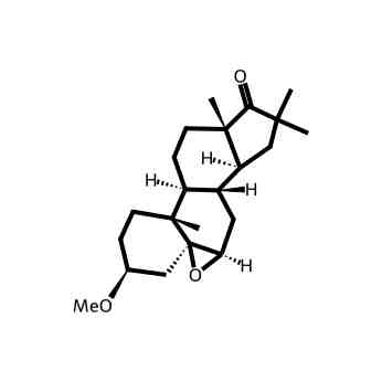 CO[C@H]1CC[C@]2(C)[C@H]3CC[C@]4(C)C(=O)C(C)(C)C[C@H]4[C@@H]3C[C@H]3O[C@]32C1